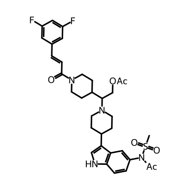 CC(=O)OCC(C1CCN(C(=O)/C=C/c2cc(F)cc(F)c2)CC1)N1CCC(c2c[nH]c3ccc(N(C(C)=O)S(C)(=O)=O)cc23)CC1